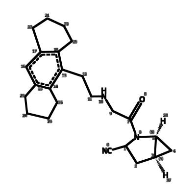 N#CC1C[C@@H]2C[C@@H]2N1C(=O)CNCCc1c2c(cc3c1CCCC3)CCCC2